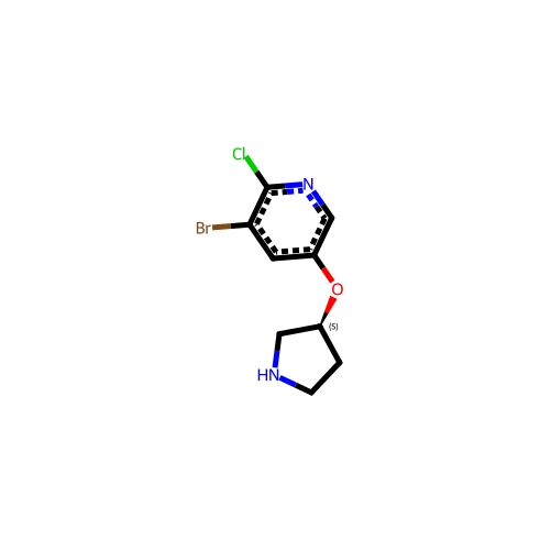 Clc1ncc(O[C@H]2CCNC2)cc1Br